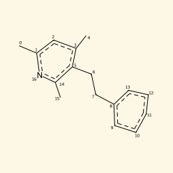 Cc1cc(C)c(CCc2ccccc2)c(C)n1